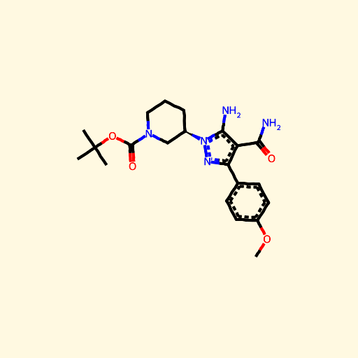 COc1ccc(-c2nn([C@@H]3CCCN(C(=O)OC(C)(C)C)C3)c(N)c2C(N)=O)cc1